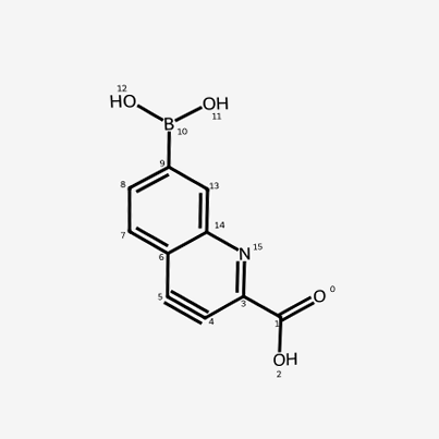 O=C(O)c1c#cc2ccc(B(O)O)cc2n1